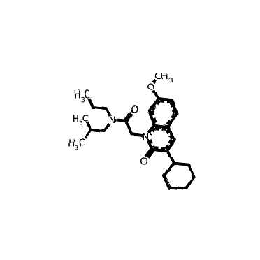 CCCN(CC(C)C)C(=O)Cn1c(=O)c(C2CCCCC2)cc2ccc(OC)cc21